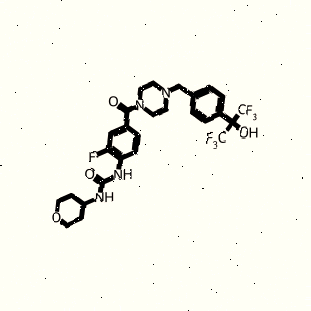 O=C(Nc1ccc(C(=O)N2CCN(Cc3ccc(C(O)(C(F)(F)F)C(F)(F)F)cc3)CC2)cc1F)NC1CCOCC1